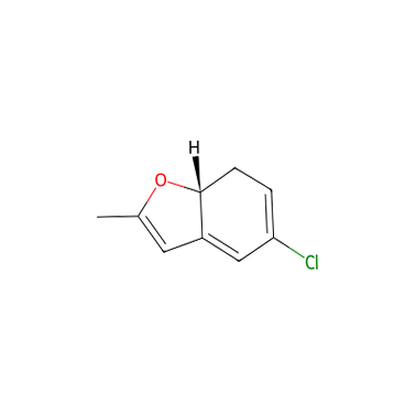 CC1=CC2=CC(Cl)=CC[C@H]2O1